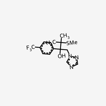 CSC(C)(C)C(O)(Cn1cncn1)c1ccc(C(F)(F)F)cc1